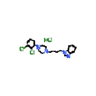 Cl.Clc1cccc(N2CCN(CCCCn3cnc4ccccc43)CC2)c1Cl